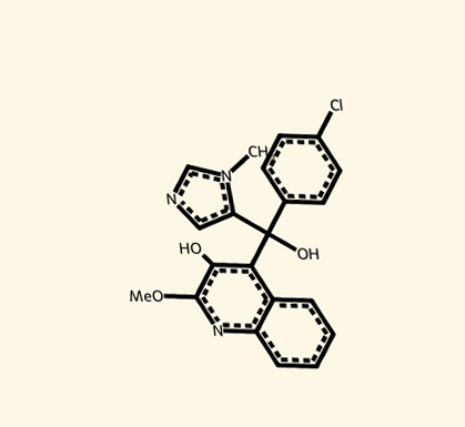 COc1nc2ccccc2c(C(O)(c2ccc(Cl)cc2)c2cncn2C)c1O